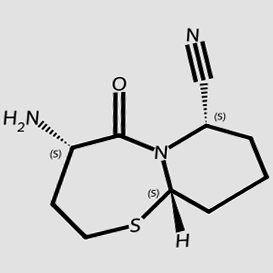 N#C[C@@H]1CCC[C@@H]2SCC[C@H](N)C(=O)N12